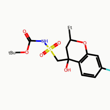 CCC1CC(O)(CS(=O)(=O)NC(=O)OC(C)(C)C)c2ccc(F)cc2O1